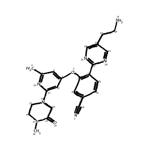 Cc1cc(Oc2cc(C#N)ccc2-c2ncc(CCN)cn2)cc(N2CCN(C)C(=O)C2)n1